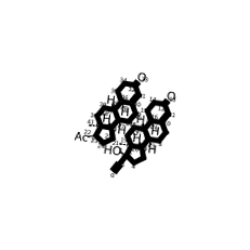 C#C[C@]1(O)CC[C@H]2[C@@H]3CCC4=CC(=O)CC[C@@H]4[C@H]3CC[C@@]21C.CC(=O)[C@H]1CC[C@H]2[C@@H]3CCC4=CC(=O)CC[C@@H]4[C@H]3CC[C@]12C